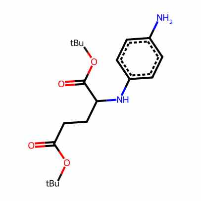 CC(C)(C)OC(=O)CCC(Nc1ccc(N)cc1)C(=O)OC(C)(C)C